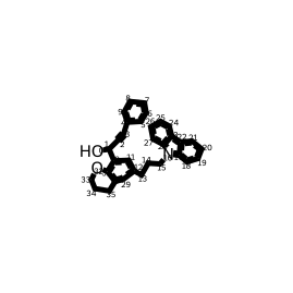 OC(C#Cc1ccccc1)c1cc(CCCn2c3ccccc3c3ccccc32)cc2c1OCCC2